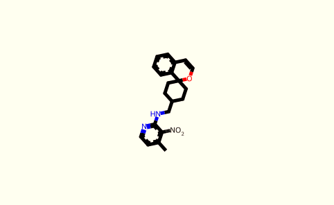 Cc1ccnc(NCC2CCC3(CC2)OC=Cc2ccccc23)c1[N+](=O)[O-]